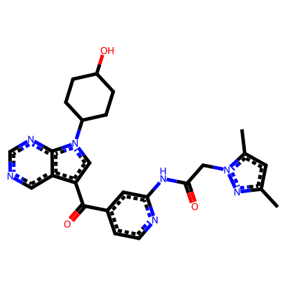 Cc1cc(C)n(CC(=O)Nc2cc(C(=O)c3cn(C4CCC(O)CC4)c4ncncc34)ccn2)n1